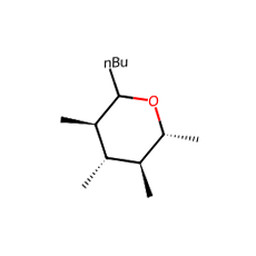 CCCCC1O[C@H](C)[C@@H](C)[C@H](C)[C@H]1C